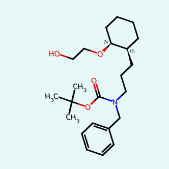 CC(C)(C)OC(=O)N(CCC[C@@H]1CCCC[C@@H]1OCCO)Cc1ccccc1